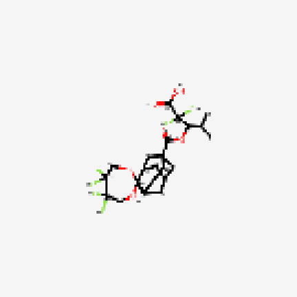 CC(C)C(OC(=O)C12CC3CC(C1)C1(OCC(F)(F)C(F)(F)CO1)C(C3)C2)C(F)(F)C(=O)O